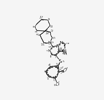 Clc1cccc(Sc2cnc(N3CCC4(CCCCC4)CC3)n3ncnc23)c1Cl